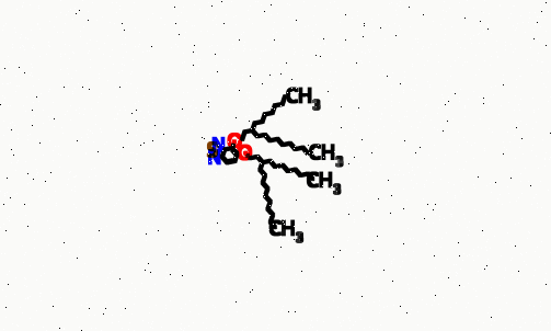 CCCCCCCCCCC(CCCCCCCC)CCOc1ccc2nsnc2c1OCCC(CCCCCCCC)CCCCCCCCCC